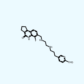 O=Cc1ccc(CCCNCCNCc2ccc3c4c(c(=O)[nH]c3c2F)CCC4)cn1